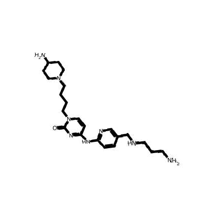 NCCCNCc1ccc(Nc2ccn(CCCCN3CCC(N)CC3)c(=O)n2)nc1